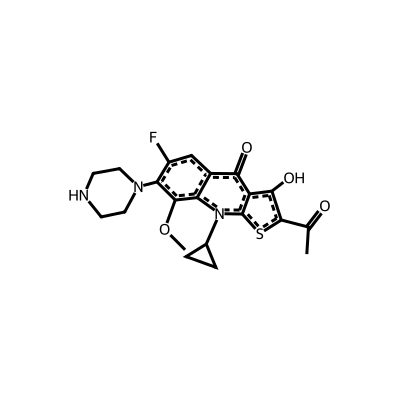 COc1c(N2CCNCC2)c(F)cc2c(=O)c3c(O)c(C(C)=O)sc3n(C3CC3)c12